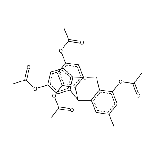 CC(=O)Oc1cc(OC(C)=O)c2c(c1)C1Cc3ccc(OC(C)=O)cc3C2c2cc(C)cc(OC(C)=O)c21